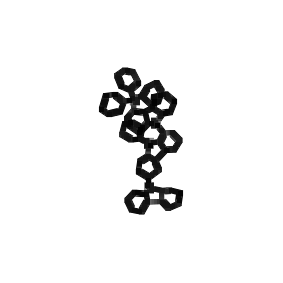 c1ccc(-n2c3ccc(-n4c5ccccc5c5ccccc54)cc3c3cccc(-n4c5ccccc5c5c([Si](c6ccccc6)(c6ccccc6)c6ccccc6)cccc54)c32)cc1